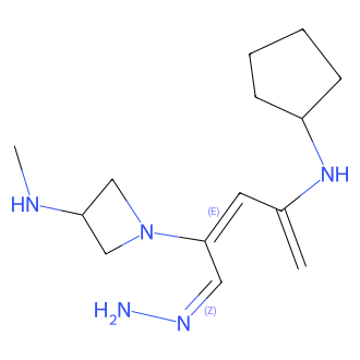 C=C(/C=C(\C=N/N)N1CC(NC)C1)NC1CCCC1